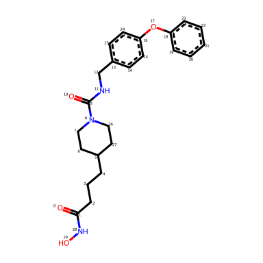 O=C(CCCC1CCN(C(=O)NCc2ccc(Oc3ccccc3)cc2)CC1)NO